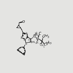 CC(C)(C)[Si](C)(C)O[C@H]1C[C@@H](c2ccccc2)n2nc(C3CC3C=O)nc21